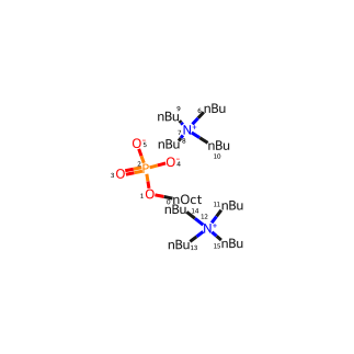 CCCCCCCCOP(=O)([O-])[O-].CCCC[N+](CCCC)(CCCC)CCCC.CCCC[N+](CCCC)(CCCC)CCCC